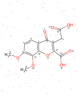 COc1ccc2c(=O)c(CC(=O)O)c(C(=O)O)oc2c1OC